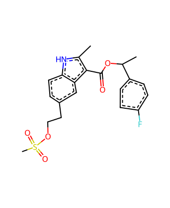 Cc1[nH]c2ccc(CCOS(C)(=O)=O)cc2c1C(=O)OC(C)c1ccc(F)cc1